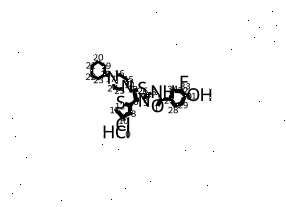 Cl.O=C(Nc1nc(-c2cc(Cl)cs2)c(N2CCN(C3CCCCC3)CC2)s1)c1ccc(O)c(F)c1